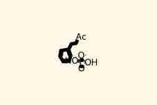 CC(=O)CCc1ccccc1.[O]P(=O)(O)O